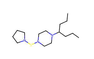 CCCC(CCC)N1CCN(SN2CCCC2)CC1